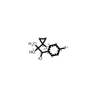 CC(O)(C(Cl)c1ccc(F)cc1)C1(Cl)CC1